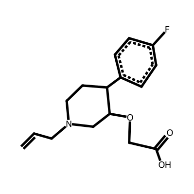 C=CCN1CCC(c2ccc(F)cc2)C(OCC(=O)O)C1